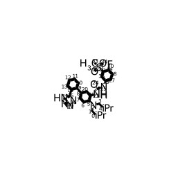 CC(C)CN(CC(C)C)c1ccc(-c2ccccc2-c2nnn[nH]2)cc1NC(=O)Nc1ccc(F)c(S(C)(=O)=O)c1